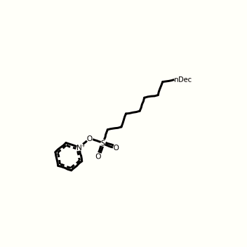 CCCCCCCCCCCCCCCCCS(=O)(=O)O[n+]1ccccc1